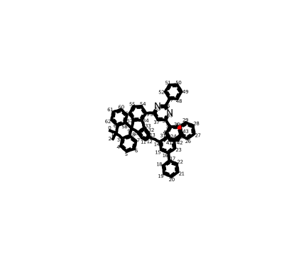 CC1(C)c2ccccc2C2(c3ccc(-c4cc(-c5ccccc5)cc(-c5ccccc5)c4)cc3-c3c(-c4cc(-c5ccccc5)nc(-c5ccccc5)n4)cccc32)c2ccccc21